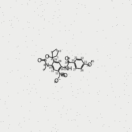 CCC1(CC)OC(=O)N(C)c2cc([N+](=O)[O-])c(NC(=O)c3ccc(OC)cc3)cc21